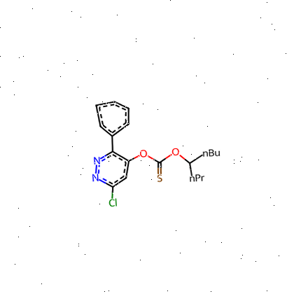 CCCCC(CCC)OC(=S)Oc1cc(Cl)nnc1-c1ccccc1